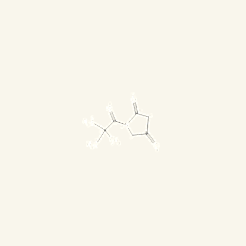 CC(C)(C)C(=O)N1CC(=O)CC1=O